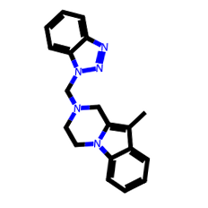 Cc1c2n(c3ccccc13)CCN(Cn1nnc3ccccc31)C2